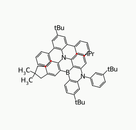 CC(C)c1cc2c3c(c1)N(c1c(-c4ccccc4)cc(C(C)(C)C)cc1-c1ccccc1)c1cc4c(cc1B3c1ccc(C(C)(C)C)cc1N2c1cccc(C(C)(C)C)c1)CC(C)(C)C4